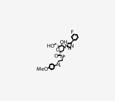 COc1ccc(N(C)CCN(C)C(=O)[C@H]2C[C@@H](n3cc(-c4cccc(F)c4)nn3)[C@@H](O)[C@@H](CO)O2)cc1